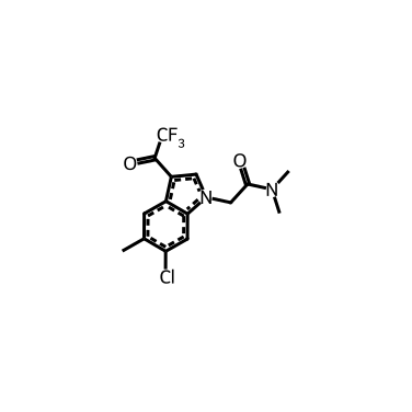 Cc1cc2c(C(=O)C(F)(F)F)cn(CC(=O)N(C)C)c2cc1Cl